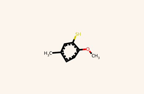 COc1ccc(C)cc1S